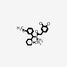 COc1cccc(C(C2CCCCN2C)N(C)C(=O)Cc2ccc(Cl)c(Cl)c2)c1